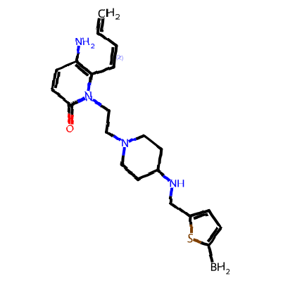 Bc1ccc(CNC2CCN(CCn3c(/C=C\C=C)c(N)ccc3=O)CC2)s1